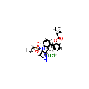 CCCC(=O)Oc1ccccc1-c1ccccc1CC1NCCC1NS(=O)(=O)CC.Cl